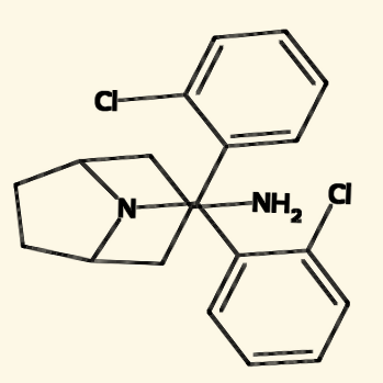 NC1CC2CCC(C1)N2C(c1ccccc1Cl)c1ccccc1Cl